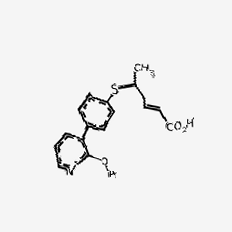 CC(C)Oc1ncccc1-c1ccc(SC(C)/C=C/C(=O)O)cc1